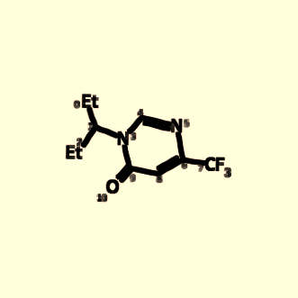 CCC(CC)n1cnc(C(F)(F)F)cc1=O